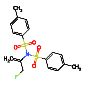 C=C(CF)N(S(=O)(=O)c1ccc(C)cc1)S(=O)(=O)c1ccc(C)cc1